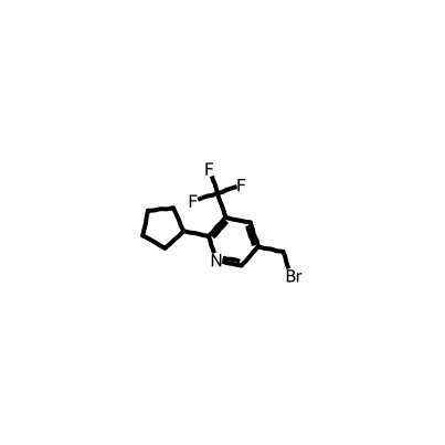 FC(F)(F)c1cc(CBr)cnc1C1CCCC1